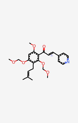 COCOc1cc(OC)c(C(=O)/C=C/c2ccncc2)c(OCOC)c1CC=C(C)C